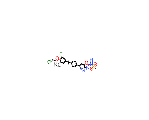 CC(C)(c1ccc(-c2cnc3nc(NS(C)(=O)=O)oc3c2)cc1)c1cc(Cl)c(OCCCl)c(C#N)c1